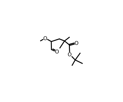 COC(C=O)CC(C)(C)C(=O)OC(C)(C)C